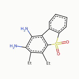 CCc1c(N)c(N)c2c(c1CC)S(=O)(=O)c1ccccc1-2